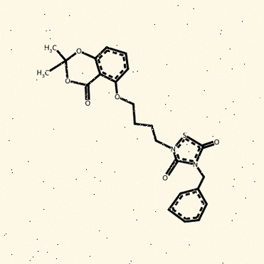 CC1(C)OC(=O)c2c(OCCCCn3sc(=O)n(Cc4ccccc4)c3=O)cccc2O1